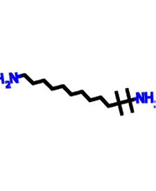 CC(C)(N)C(C)(C)CCCCCCCCCCN